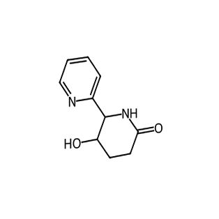 O=C1CCC(O)C(c2ccccn2)N1